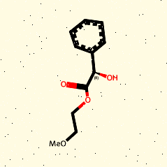 COCCOC(=O)[C@H](O)c1ccccc1